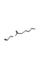 NCCCCC(=O)OCC=O